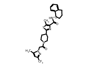 Cc1sc(C2CCN(C(=O)Cn3nc(C(F)(F)F)cc3C)CC2)nc1C(=O)N[C@H]1CCCc2ccccc21